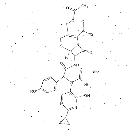 CC(=O)OCC1=C(C(=O)[O-])N2C(=O)C(NC(=O)C(c3ccc(O)cc3)N(C(N)=O)c3cnc(C4CC4)nc3O)[C@H]2SC1.[Na+]